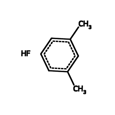 Cc1cccc(C)c1.F